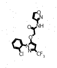 O=C(COc1cc(C(F)(F)F)nn1-c1ccccc1Cl)Nc1ccon1